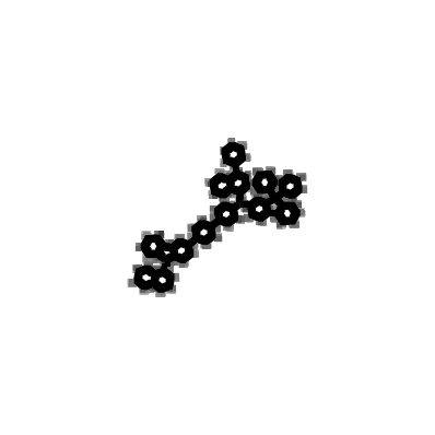 c1ccc(-c2ccc(N(c3ccc(-c4ccc(-c5ccc6c(c5)c5ccccc5n6-c5cccc6ccccc56)cc4)cc3)c3ccc4c(c3)C(c3ccccc3)(c3ccccc3)c3ccccc3-4)c3ccccc23)cc1